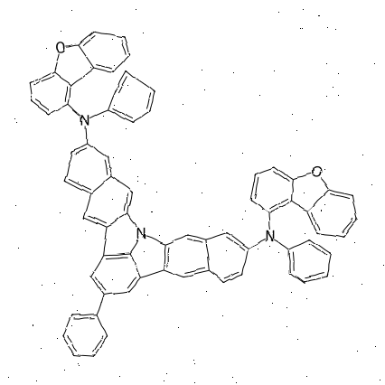 c1ccc(-c2cc3c4cc5ccc(N(c6ccccc6)c6cccc7oc8ccccc8c67)cc5cc4n4c5cc6cc(N(c7ccccc7)c7cccc8oc9ccccc9c78)ccc6cc5c(c2)c34)cc1